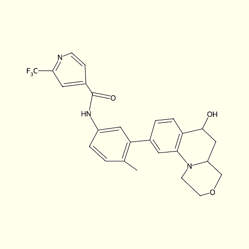 Cc1ccc(NC(=O)c2ccnc(C(F)(F)F)c2)cc1-c1ccc2c(c1)N1CCOCC1CC2O